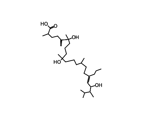 C=C(CCC(C)C(=O)O)C(C)(O)CCCC(C)(O)CCCC(C)CC/C(=C/C(O)C(C)C(C)C)CCC